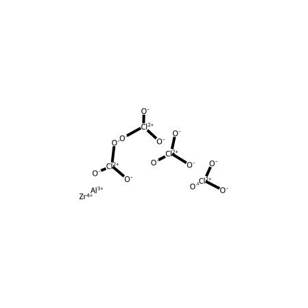 [Al+3].[O-][Cl+2]([O-])[O-].[O-][Cl+2]([O-])[O-].[O-][Cl+2]([O-])[O-].[O-][Cl+2]([O-])[O-].[Zr+4]